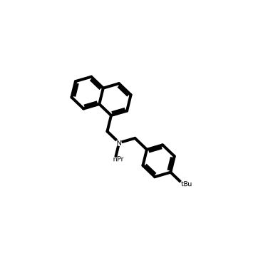 CCCN(Cc1ccc(C(C)(C)C)cc1)Cc1cccc2ccccc12